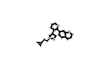 c1cnc(-c2ccc3cccnc3c2)c(-c2cnn(CCC3CC3)c2)c1